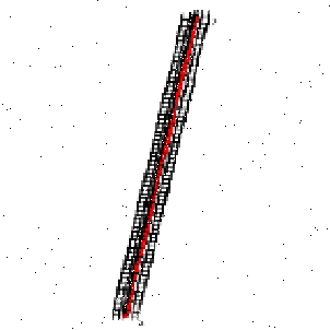 PPPPPPPPPPPPPPPPPPPPPPPPPPPPPPPPPPPPPPPPPPPPPPPPPPPPPPPPPPPPPPPPPPPPPPPPPPPPPPPPPPPPPPPPPPPPPPPPPPPPPPPPPPPPPPPPPPPPPPPPPPPPPPPPPPPPPPPPPPPPPPPPPPP